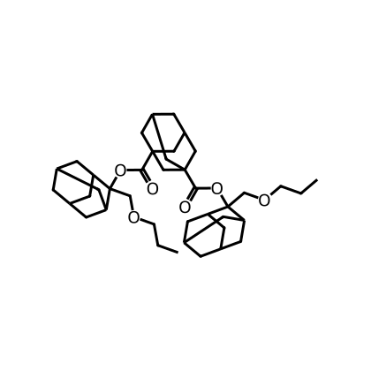 CCCOCC1(OC(=O)C23CC4CC(C2)CC(C(=O)OC2(COCCC)C5CC6CC(C5)CC2C6)(C4)C3)C2CC3CC(C2)CC1C3